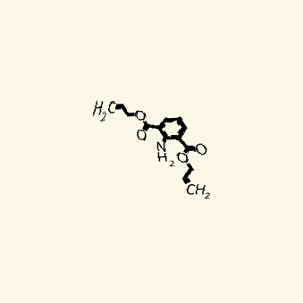 C=CCOC(=O)c1cccc(C(=O)OCC=C)c1N